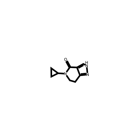 O=C1c2c[nH]nc2CCN1C1CC1